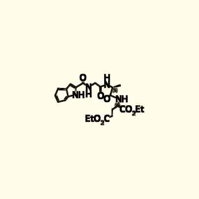 CCOC(=O)CC[C@@H](NC(=O)[C@H](C)NC(=O)CNC(=O)c1cc2ccccc2[nH]1)C(=O)OCC